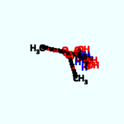 CCCCCCCCCCCCCCCC(=O)OC[C@H](CSCCC(=O)N[C@](N)(CCC(=O)O)C(=O)NCC(=O)N[C@H](CCC(=O)O)C(=O)O)OC(=O)CCCCCCCCCCCCCCC